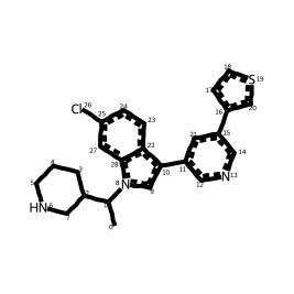 CC(C1CCCNC1)n1cc(-c2cncc(-c3ccsc3)c2)c2ccc(Cl)cc21